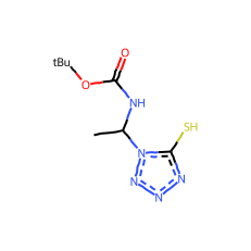 CC(NC(=O)OC(C)(C)C)n1nnnc1S